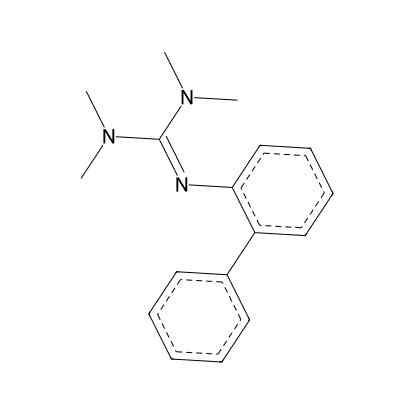 CN(C)C(=Nc1ccccc1-c1ccccc1)N(C)C